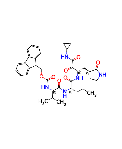 CCC[C@H](NC(=O)[C@@H](NC(=O)OCC1c2ccccc2-c2ccccc21)C(C)C)C(=O)N[C@@H](C[C@@H]1CCNC1=O)C(=O)C(=O)NC1CC1